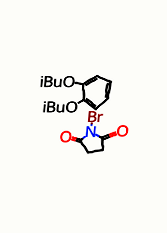 CC(C)COc1ccccc1OCC(C)C.O=C1CCC(=O)N1Br